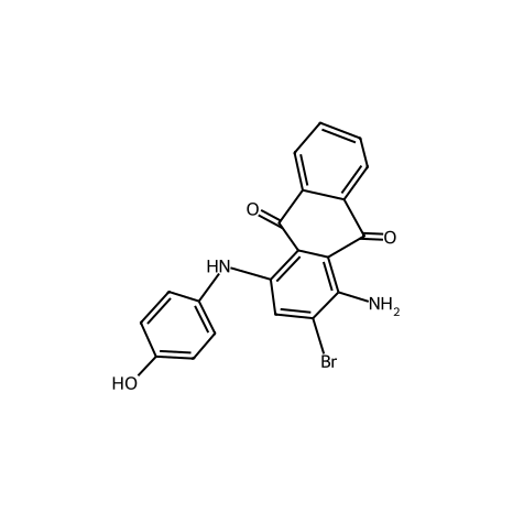 Nc1c(Br)cc(Nc2ccc(O)cc2)c2c1C(=O)c1ccccc1C2=O